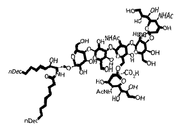 CCCCCCCCCCCCC/C=C/[C@@H](O)[C@H](CO[C@@H]1OC(CO)[C@@H](O[C@@H]2OC(CO)[C@H](O)[C@H](O[C@@H]3OC(CO[C@]4(C(=O)O)CC(O)[C@@H](NC(C)=O)C([C@H](O)[C@H](O)CO)O4)[C@@H](O)[C@H](O[C@@H]4OC(CO)[C@H](O)[C@H](O[C@]5(C(=O)O)CC(O)[C@@H](NC(C)=O)C([C@H](O)[C@H](O)CO)O5)C4O)C3NC(C)=O)C2O)[C@H](O)C1O)NC(=O)CCCCCCCCCCCCCCCCC